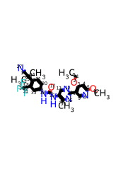 CCOc1cc(OC)ncc1-c1ncc(NC(=O)Nc2ccc(C(C)(C)C#N)c(C(F)(F)F)c2)c(C)n1